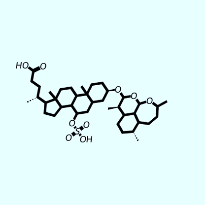 CC1CCC2C3C(O1)OC(O[C@@H]1CCC4(C)C(CC(OS(=O)(=O)O)C5C4CCC4(C)C5CCC4[C@H](C)CCC(=O)O)C1)[C@H](C)C3CC[C@H]2C